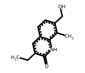 CCc1cc2ccc(CO)c(C)c2[nH]c1=O